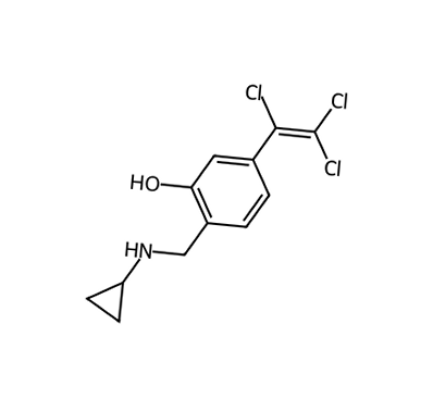 Oc1cc(C(Cl)=C(Cl)Cl)ccc1CNC1CC1